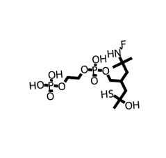 CC(O)(S)CC(COP(=O)(O)OCCOP(=O)(O)O)CC(C)(C)NF